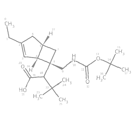 CCC1=C[C@@H]2[C@H](C1)C[C@]2(CNC(=O)OC(C)(C)C)C(C(=O)O)C(C)(C)C